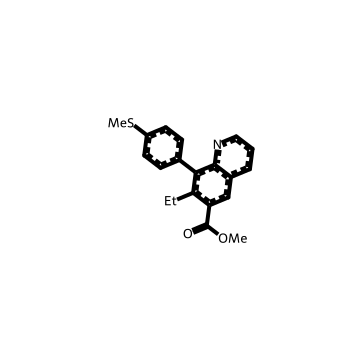 CCc1c(C(=O)OC)cc2cccnc2c1-c1ccc(SC)cc1